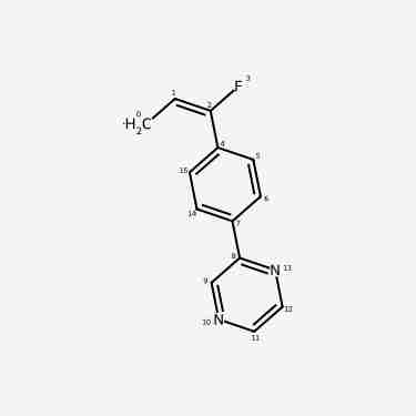 [CH2]/C=C(/F)c1ccc(-c2cnccn2)cc1